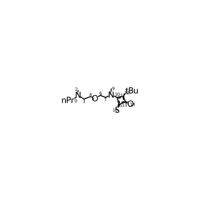 CCCN(C)CCOCCN(C)c1c(C(C)(C)C)c(=O)c1=S